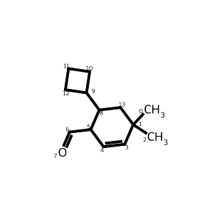 CC1(C)C=CC(C=O)C(C2CCC2)C1